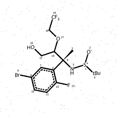 CC(C)(C)[S+]([O-])N[C@](C)(c1cc(Br)ccc1F)C(CO)OCC(F)(F)F